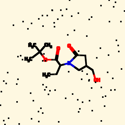 CCC(C(=O)OC(C)(C)C)N1CC(CO)CC1=O